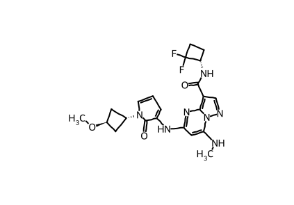 CNc1cc(Nc2cccn([C@H]3C[C@H](OC)C3)c2=O)nc2c(C(=O)N[C@H]3CCC3(F)F)cnn12